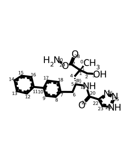 C[C@@](CO)(C[C@@H](Cc1ccc(-c2ccccc2)cc1)NC(=O)c1c[nH]nn1)C(=O)ON